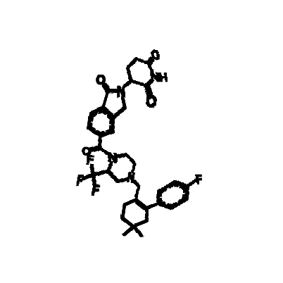 CC1(C)CCC(CN2CCN(C(=O)c3ccc4c(c3)CN(C3CCC(=O)NC3=O)C4=O)C(C(F)(F)F)C2)=C(c2ccc(F)cc2)C1